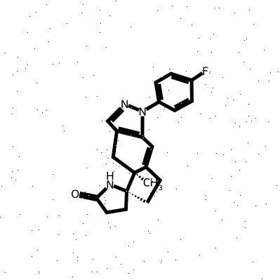 C[C@]12Cc3cnn(-c4ccc(F)cc4)c3C=C1CC[C@@]21CCC(=O)N1